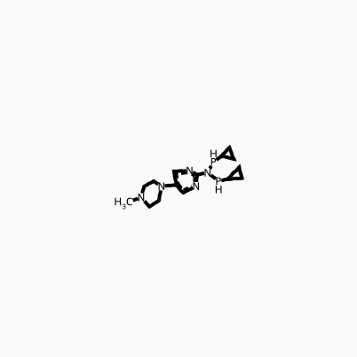 CN1CCN(c2cnc(N(PC3CC3)PC3CC3)nc2)CC1